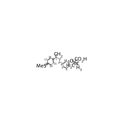 C=C(CCc1cccc(OC(C)(C)C(=O)O)c1)c1ccc(SC)cc1